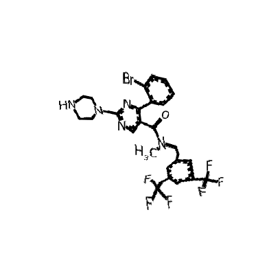 CN(Cc1cc(C(F)(F)F)cc(C(F)(F)F)c1)C(=O)c1cnc(N2CCNCC2)nc1-c1ccccc1Br